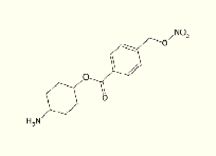 NC1CCC(OC(=O)c2ccc(CO[N+](=O)[O-])cc2)CC1